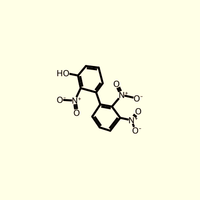 O=[N+]([O-])c1cccc(-c2cccc(O)c2[N+](=O)[O-])c1[N+](=O)[O-]